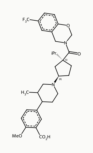 COc1ccc(C2CCN([C@@H]3CC[C@@](C(=O)N4COc5ccc(C(F)(F)F)cc5C4)(C(C)C)C3)CC2C)cc1C(=O)O